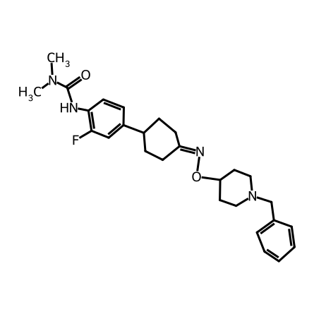 CN(C)C(=O)Nc1ccc(C2CCC(=NOC3CCN(Cc4ccccc4)CC3)CC2)cc1F